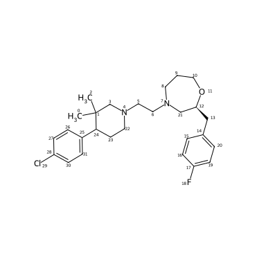 CC1(C)CN(CCN2CCCO[C@@H](Cc3ccc(F)cc3)C2)CCC1c1ccc(Cl)cc1